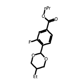 CCCOC(=O)c1ccc(C2OCC(CC)CO2)c(F)c1